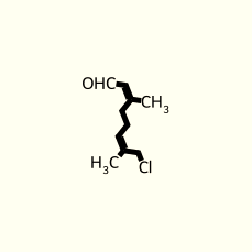 CC(=CCCC(C)=CC=O)CCl